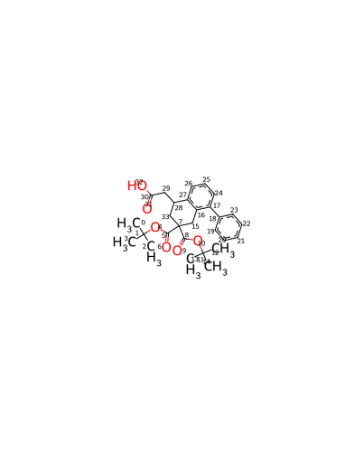 CC(C)(C)OC(=O)C1(C(=O)OC(C)(C)C)Cc2c(-c3ccccc3)cccc2C(CC(=O)O)C1